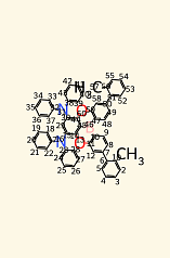 Cc1ccccc1-c1ccc2c(c1)Oc1c(N(c3ccccc3)c3ccccc3)cc(N(c3ccccc3)c3ccccc3)c3c1B2c1ccc(-c2ccccc2C)cc1O3